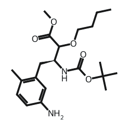 CCCCOC(C(=O)OC)[C@H](Cc1cc(N)ccc1C)NC(=O)OC(C)(C)C